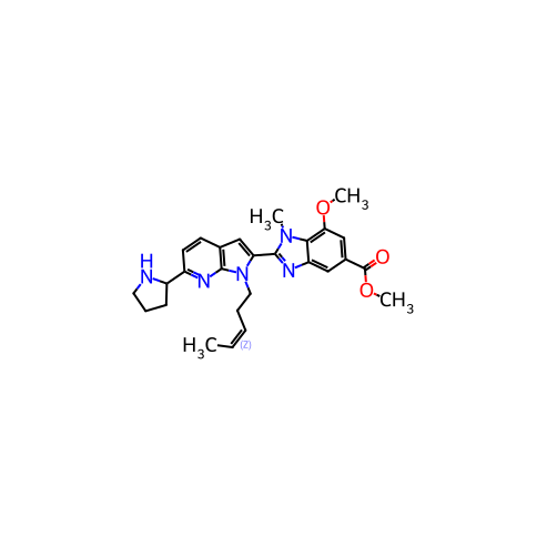 C/C=C\CCn1c(-c2nc3cc(C(=O)OC)cc(OC)c3n2C)cc2ccc(C3CCCN3)nc21